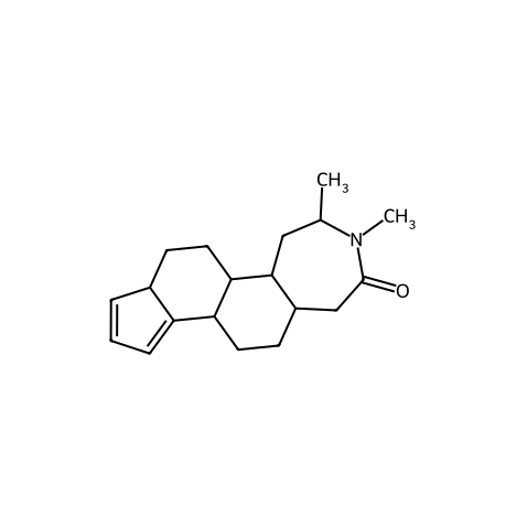 CC1CC2C(CCC3C4=CC=CC4CCC32)CC(=O)N1C